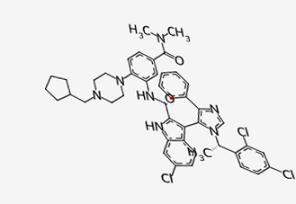 C[C@@H](c1ccc(Cl)cc1Cl)n1cnc(-c2ccccc2)c1-c1c(C(=O)Nc2cc(C(=O)N(C)C)ccc2N2CCN(CC3CCCC3)CC2)[nH]c2cc(Cl)ccc12